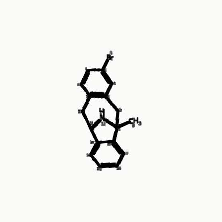 CC12Cc3cc(Br)ccc3CC(N1)c1ccccc12